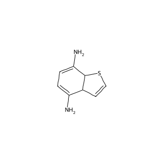 NC1=CC=C(N)C2SC=CC12